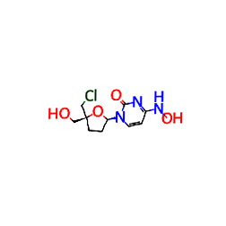 O=c1nc(NO)ccn1[C@H]1CC[C@](CO)(CCl)O1